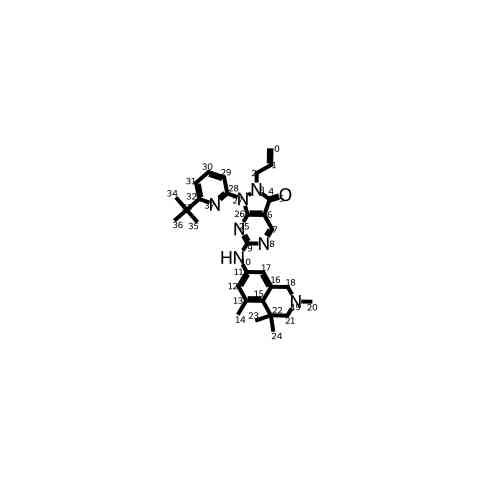 C=CCn1c(=O)c2cnc(Nc3cc(C)c4c(c3)CN(C)CC4(C)C)nc2n1-c1cccc(C(C)(C)C)n1